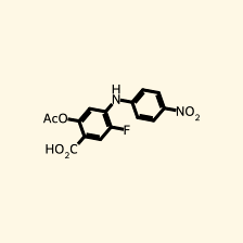 CC(=O)Oc1cc(Nc2ccc([N+](=O)[O-])cc2)c(F)cc1C(=O)O